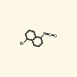 O=C=Nc1cccc2c(Br)cccc12